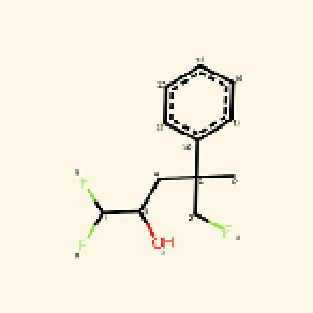 CC(CF)(CC(O)C(F)F)c1ccccc1